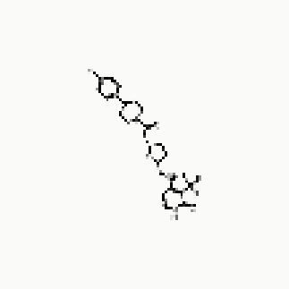 O=C(C[C@@H]1CCC(CNc2cn[nH]c(=O)c2C(F)(F)F)O1)N1CCN(c2ncc(Cl)cn2)CC1